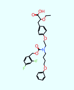 CCOC(Cc1ccc(OCCN(CCCCOc2ccccc2)C(=O)OCc2ccc(F)cc2F)cc1)C(=O)O